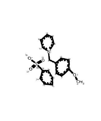 COc1ccc(C[n+]2ccccc2)cc1.O=S(=O)([O-])c1ccccc1